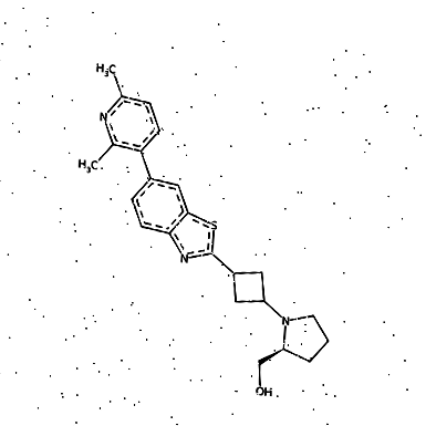 Cc1ccc(-c2ccc3nc(C4CC(N5CCC[C@H]5CO)C4)sc3c2)c(C)n1